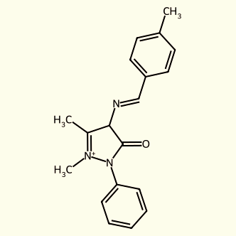 CC1=[N+](C)N(c2ccccc2)C(=O)C1N=Cc1ccc(C)cc1